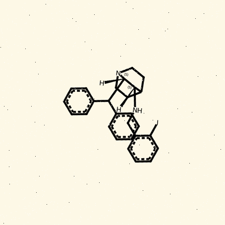 Ic1ccccc1CN[C@H]1C2CCN(CC2)[C@H]1C(c1ccccc1)c1ccccc1